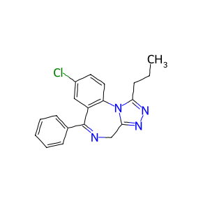 CCCc1nnc2n1-c1ccc(Cl)cc1C(c1ccccc1)=NC2